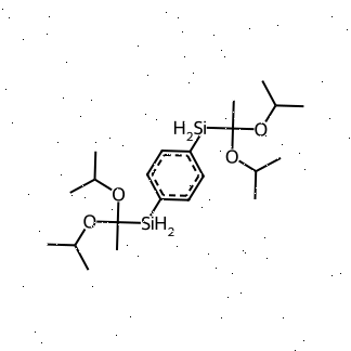 CC(C)OC(C)(OC(C)C)[SiH2]c1ccc([SiH2]C(C)(OC(C)C)OC(C)C)cc1